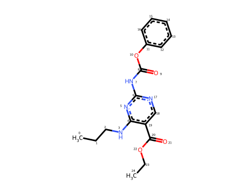 CCCNc1nc(NC(=O)Oc2ccccc2)ncc1C(=O)OCC